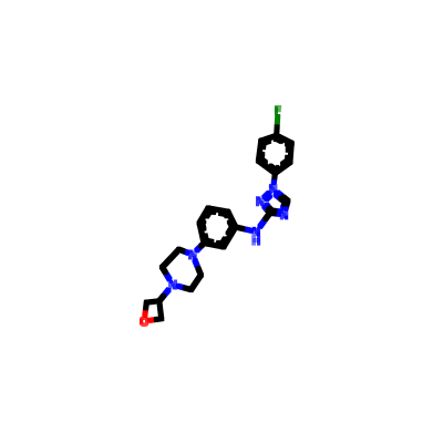 Fc1ccc(-n2cnc(Nc3cccc(N4CCN(C5COC5)CC4)c3)n2)cc1